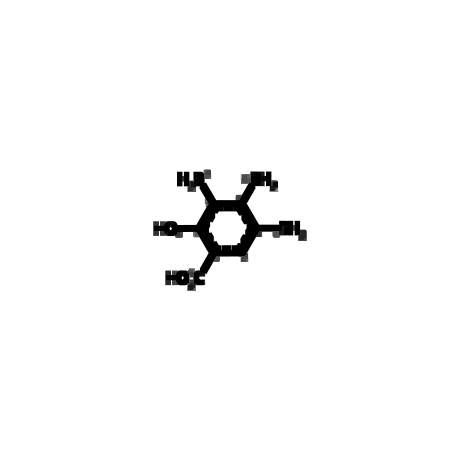 Bc1cc(C(=O)O)c(O)c(B)c1B